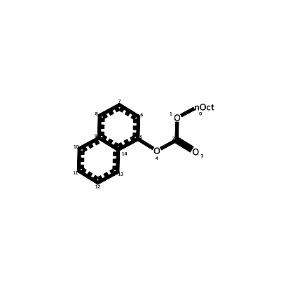 CCCCCCCCOC(=O)Oc1cccc2ccccc12